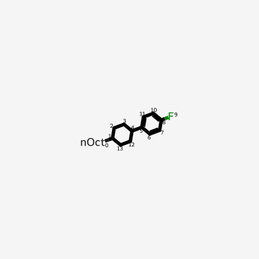 CCCCCCCCC1CCC(c2ccc(F)cc2)CC1